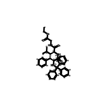 CCOC(=O)CNC(=O)[C@H](CC(C)C)NC(=O)[C@H](Cc1ccccc1)NC(c1ccccc1)(c1ccccc1)c1ccccc1